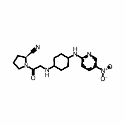 N#C[C@@H]1CCCN1C(=O)CNC1CCC(Nc2ccc([N+](=O)[O-])cn2)CC1